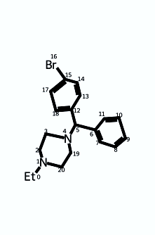 CCN1CCN(C(c2ccccc2)c2ccc(Br)cc2)CC1